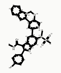 CNC(=O)c1c(-c2ccc(F)cc2)oc2cc(N(C)S(C)(=O)=O)c(-c3cc4c(cn3)OCn3c-4cc4ccccc43)cc12